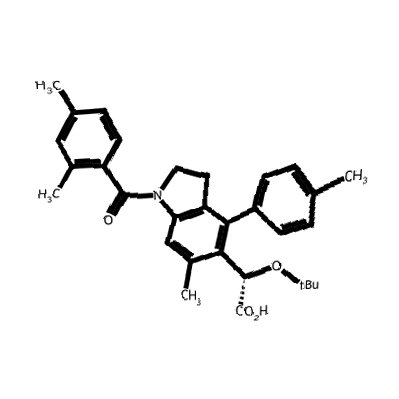 Cc1ccc(-c2c3c(cc(C)c2[C@H](OC(C)(C)C)C(=O)O)N(C(=O)c2ccc(C)cc2C)CC3)cc1